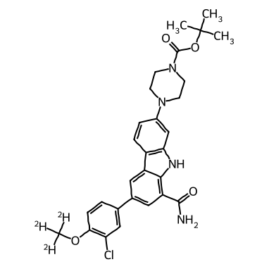 [2H]C([2H])([2H])Oc1ccc(-c2cc(C(N)=O)c3[nH]c4cc(N5CCN(C(=O)OC(C)(C)C)CC5)ccc4c3c2)cc1Cl